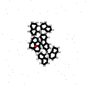 c1ccc(C2(c3cccc4ccccc34)c3cc(B(c4cccc5ccccc45)c4cccc5ccccc45)ccc3-c3ccc(B(c4cccc5ccccc45)c4cccc5ccccc45)cc32)cc1